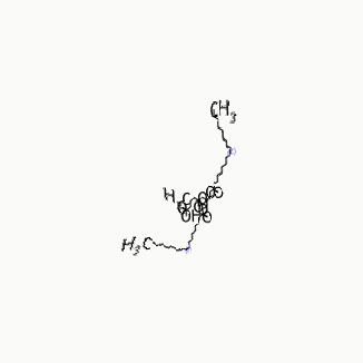 CCCCCCCC/C=C\CCCCCCCC(=O)OCC(COC(=O)CCCCCCC/C=C\CCCCCCCC)OC(=O)CC(C)CC(=O)O